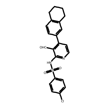 O=Cc1c(-c2ccc3c(c2)CCCC3)ccnc1NS(=O)(=O)c1ccc(Cl)cc1